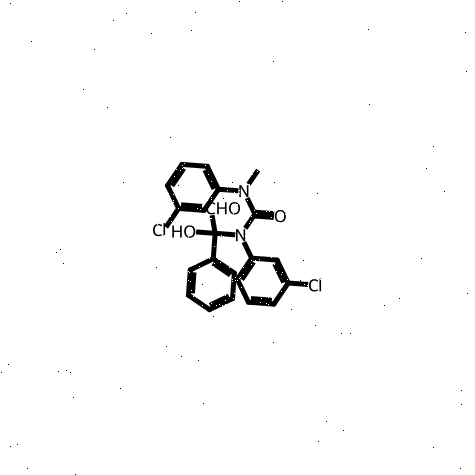 CN(C(=O)N(c1cccc(Cl)c1)C(O)(C=O)c1ccccc1)c1cccc(Cl)c1